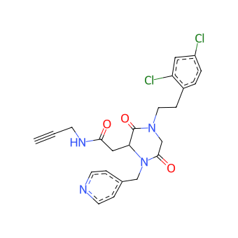 C#CCNC(=O)CC1C(=O)N(CCc2ccc(Cl)cc2Cl)CC(=O)N1Cc1ccncc1